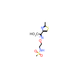 Cc1nc(/C(=N/OCCNS(C)(=O)=O)C(=O)O)cs1